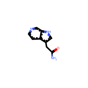 NC(=O)Cc1c[nH]c2cnccc12